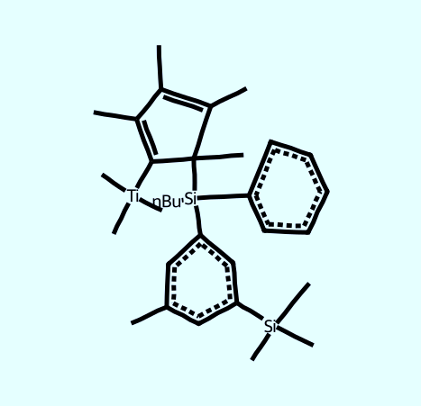 CCCC[Si](c1ccccc1)(c1cc(C)cc([Si](C)(C)C)c1)C1(C)C(C)=C(C)C(C)=[C]1[Ti]([CH3])([CH3])[CH3]